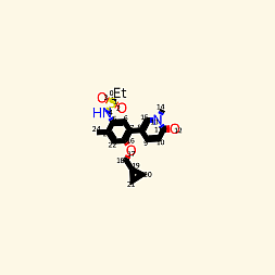 CCS(=O)(=O)Nc1cc(-c2ccc(=O)n(C)c2)c(OCC2CC2)cc1C